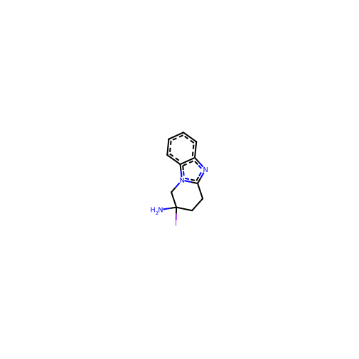 NC1(I)CCc2nc3ccccc3n2C1